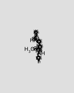 CCOc1nc(NCc2ccc(F)cc2)nc2ccc(-c3cccc(NS(=O)(=O)CCN4CCCC4)c3)nc12